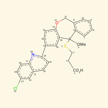 COC1(SCCC(=O)O)c2ccccc2COc2ccc(-c3ccc4cc(Cl)ccc4n3)cc21